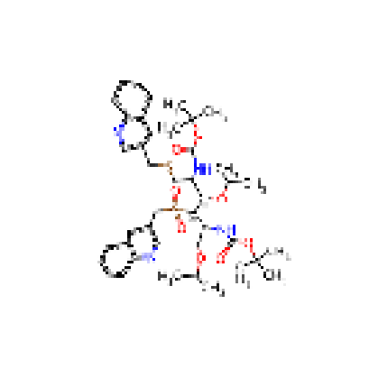 CC(C)OCC(NC(=O)OC(C)(C)C)[C@@H]([C@@H](OC(C)C)C(CSCc1cnc2ccccc2c1)NC(=O)OC(C)(C)C)S(=O)(=O)Cc1cnc2ccccc2c1